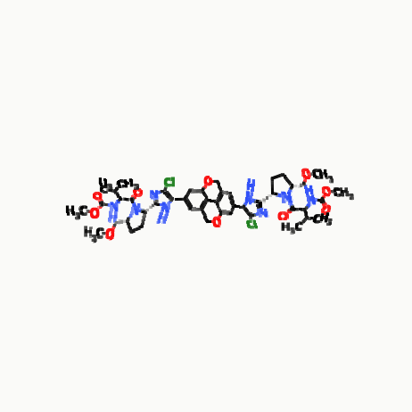 COC[C@H]1CC[C@@H](c2nc(Cl)c(-c3cc4c5c(c3)OCc3cc(-c6[nH]c([C@@H]7CC[C@H](COC)N7C(=O)[C@@H](NC(=O)OC)C(C)C)nc6Cl)cc(c3-5)OC4)[nH]2)N1C(=O)[C@@H](NC(=O)OC)C(C)C